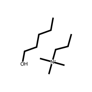 CCCCCO.CCC[N+](C)(C)C